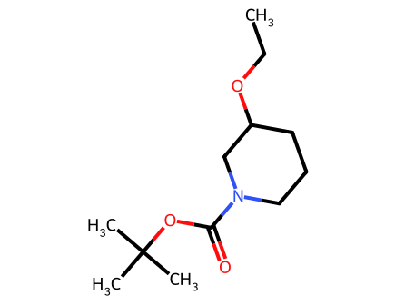 CCOC1CCCN(C(=O)OC(C)(C)C)C1